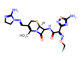 NC1=NCCN1N=CC1=C(C(=O)O)N2C(=O)C(NC(=O)/C(=N\OCF)c3nsc(N)n3)[C@@H]2SC1